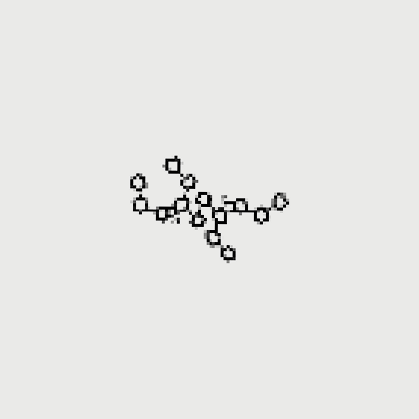 c1ccc(-c2cccc(-c3ccc4sc5c(-c6ccccc6-c6ccccc6-c6cc(-c7cccc(-c8ccccc8)c7)cc7c6sc6ccc(-c8cccc(-c9ccccc9)c8)cc67)cc(-c6cccc(-c7ccccc7)c6)cc5c4c3)c2)cc1